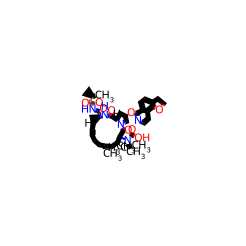 CC1CC/C=C\[C@@H]2C[C@@]2(C(=O)NS(=O)(=O)C2(C)CC2)NC(=O)[C@@H]2C[C@@H](Oc3nccc4c5c(ccc34)CCO5)CN2C(=O)[C@@H](N(C(=O)O)C(C)(C)C)[C@H](C)C1